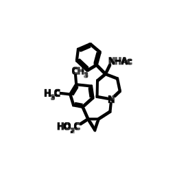 CC(=O)NC1(c2ccccc2)CCN(CC2CC2(C(=O)O)c2ccc(C)c(C)c2)CC1